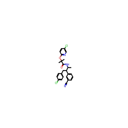 CC(NC(=O)C(C)(C)Oc1ccc(Cl)cn1)C(Cc1ccc(Cl)cc1)c1cccc(C#N)c1